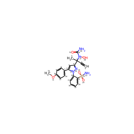 C#CC(C)(c1cc(-c2ccc(OC)cc2)n(-c2ccccc2S(N)(=O)=O)n1)N(O)C(N)=O